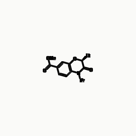 CC[C@@H]1Oc2cc(C(=O)OC)ccc2N(C(C)C)C1=O